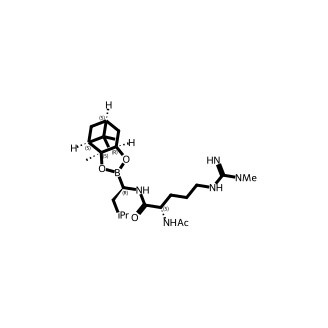 CNC(=N)NCCC[C@H](NC(C)=O)C(=O)N[C@@H](CC(C)C)B1O[C@@H]2C[C@@H]3C[C@@H](C3(C)C)[C@]2(C)O1